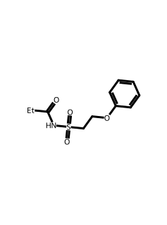 CCC(=O)NS(=O)(=O)CCOc1ccccc1